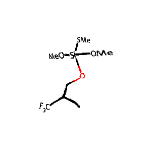 CO[Si](OC)(OCC(C)C(F)(F)F)SC